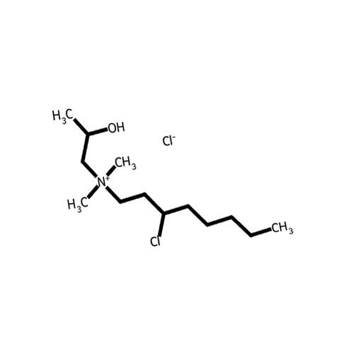 CCCCCC(Cl)CC[N+](C)(C)CC(C)O.[Cl-]